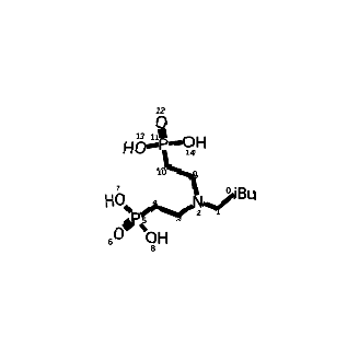 CCC(C)CN(CCP(=O)(O)O)CCP(=O)(O)O